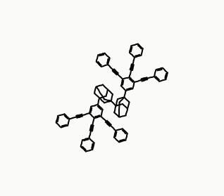 C(#Cc1cc(C23CC4CC(C2)CC(C25CC6CC(CC(c7cc(C#Cc8ccccc8)c(C#Cc8ccccc8)c(C#Cc8ccccc8)c7)(C6)C2)C5)(C4)C3)cc(C#Cc2ccccc2)c1C#Cc1ccccc1)c1ccccc1